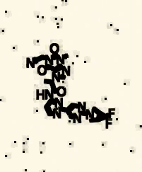 CC(C(=O)Nc1ccnc(-c2cnc(N3CC4C(C3)C4(F)F)nc2)n1)n1cnc2c1c(=O)n(CC#N)c(=O)n2C